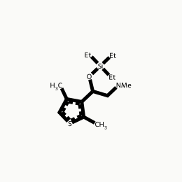 CC[Si](CC)(CC)OC(CNC)c1c(C)csc1C